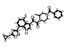 CC1CN(C(=O)c2ccccc2)CCN1C(=O)C(=O)c1c[nH]c2c(-c3noc(C4CC4)n3)ccc(F)c12